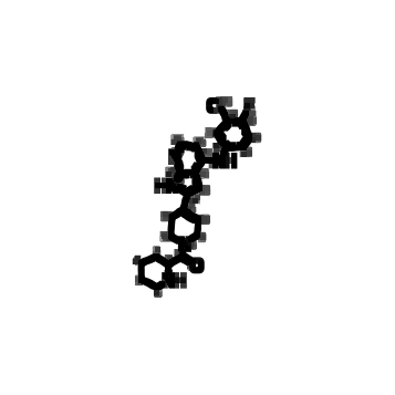 O=C(C1CCCCN1)N1CC=C(c2cc3c(Nc4ccc(F)c(Cl)c4)ccnc3[nH]2)CC1